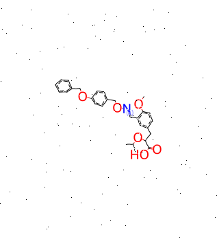 COc1ccc(CC(OC(C)C)C(=O)O)cc1/C=N/OCc1ccc(OCc2ccccc2)cc1